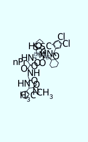 CCCC(NC(=O)[C@@H]1CC2(CN1C(=O)[C@@H](NC(=O)c1cc(Cl)c(Cl)cc1C(=O)O)C1CCCCC1)SCCCS2)C(=O)C(=O)NCC(=O)NC(C(=O)N(C)C)c1ccccc1